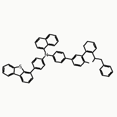 Cc1ccc(-c2ccc(N(c3ccc(-c4cccc5c4sc4ccccc45)cc3)c3cccc4ccccc34)cc2)cc1C1=C(C(C)Cc2ccccc2)C=CCC1